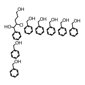 OCCCC(Cl)C(O)c1ccccc1.OCc1ccccc1.OCc1ccccc1.OCc1ccccc1.OCc1ccccc1.OCc1ccccc1.OCc1ccccc1.OCc1ccccc1